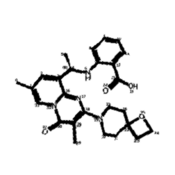 Cc1cc([C@@H](C)Nc2ccccc2C(=O)O)c2nc(N3CCC4(CCO4)CC3)c(C)c(=O)n2c1